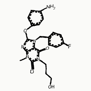 Cn1c(=O)n(CCCO)c(=O)c2c1nc(Oc1ccc(N)cc1)n2Cc1ccc(F)cc1